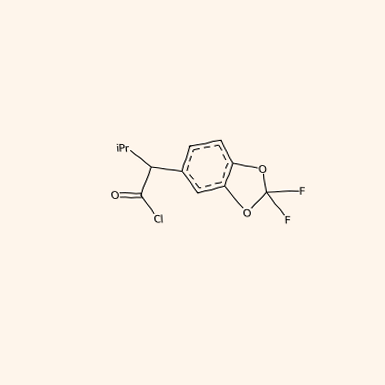 CC(C)C(C(=O)Cl)c1ccc2c(c1)OC(F)(F)O2